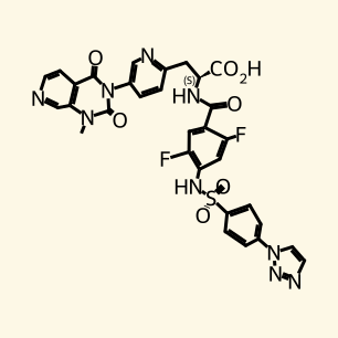 Cn1c(=O)n(-c2ccc(C[C@H](NC(=O)c3cc(F)c(NS(=O)(=O)c4ccc(-n5ccnn5)cc4)cc3F)C(=O)O)nc2)c(=O)c2ccncc21